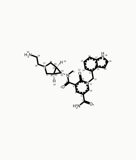 CN(C(=O)c1cc(C(N)=O)cn(Cc2cccc3[nH]ccc23)c1=O)[C@H]1[C@@H]2CN(CCN)C[C@@H]21